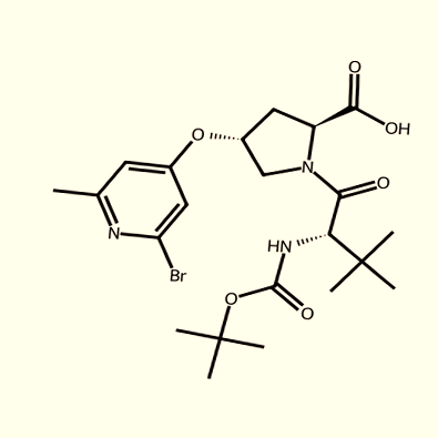 Cc1cc(O[C@@H]2C[C@@H](C(=O)O)N(C(=O)[C@@H](NC(=O)OC(C)(C)C)C(C)(C)C)C2)cc(Br)n1